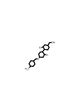 CCC1CC(CO)CCC1C1CCC(OCC2CCC(C)CC2)CC1CC